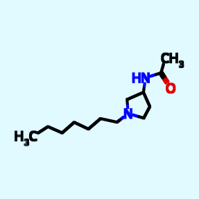 CCCCCCCN1CCC(NC(C)=O)C1